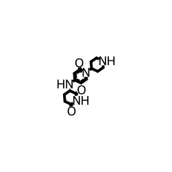 O=C1CC[C@H](Nc2ccn(C3CCNCC3)c(=O)c2)C(=O)N1